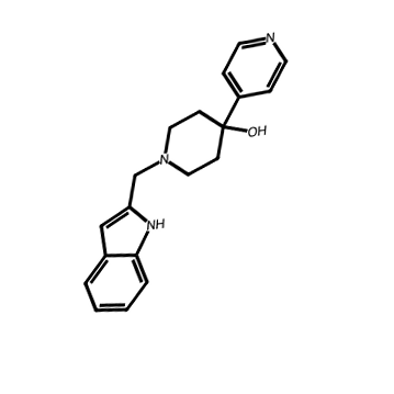 OC1(c2ccncc2)CCN(Cc2cc3ccccc3[nH]2)CC1